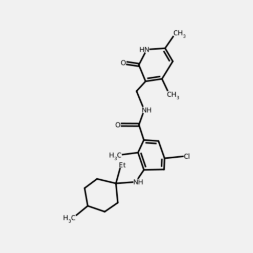 CCC1(Nc2cc(Cl)cc(C(=O)NCc3c(C)cc(C)[nH]c3=O)c2C)CCC(C)CC1